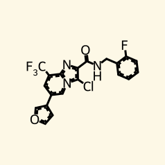 O=C(NCc1ccccc1F)c1nc2c(C(F)(F)F)cc(-c3ccoc3)cn2c1Cl